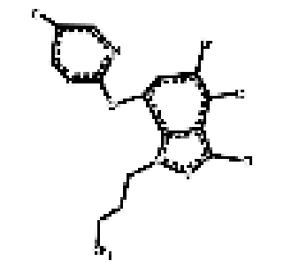 FC(F)(F)CCCn1nc(Cl)c2c(Cl)c(Br)cc(Oc3ncc(Cl)cn3)c21